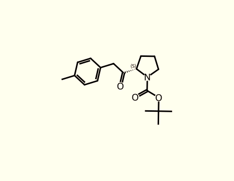 Cc1ccc(CC(=O)[C@@H]2CCCN2C(=O)OC(C)(C)C)cc1